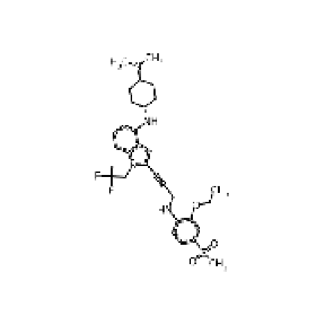 CCOc1cc(S(C)(=O)=O)ccc1NCC#Cc1cc2c(N[C@H]3CC[C@H](N(C)C)CC3)cccc2n1CC(F)(F)F